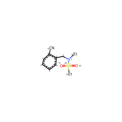 CCN(Cc1ccccc1C#N)S(=O)(=O)CC